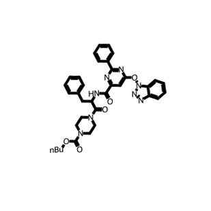 CCCCOC(=O)N1CCN(C(=O)C(Cc2ccccc2)NC(=O)c2cc(On3nnc4ccccc43)nc(-c3ccccc3)n2)CC1